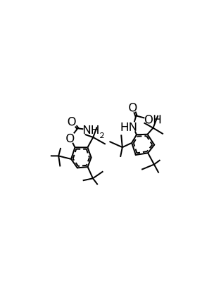 CC(C)(C)c1cc(C(C)(C)C)c(NC(=O)O)c(C(C)(C)C)c1.CC(C)(C)c1cc(C(C)(C)C)c(OC(N)=O)c(C(C)(C)C)c1